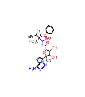 CCCC(CC)[C@](C)(NP(=O)(OC[C@H]1O[C@@](C#N)(c2ccc3c(N)ncnn23)[C@H](O)[C@@H]1O)Oc1ccccc1)C(=O)O